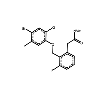 CCc1cc(Cl)c(OCc2c(F)cccc2CC(=O)NC)cc1C